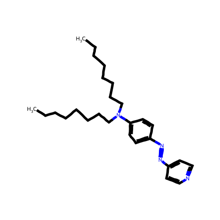 CCCCCCCCN(CCCCCCCC)c1ccc(/N=N/c2ccncc2)cc1